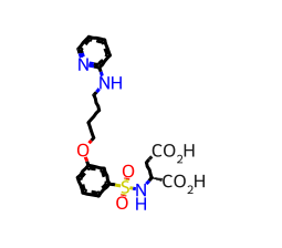 O=C(O)C[C@H](NS(=O)(=O)c1cccc(OCCCCNc2ccccn2)c1)C(=O)O